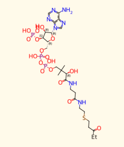 CCC(=O)CCSCCNC(=O)CCNC(=O)[C@H](O)C(C)(C)COP(=O)(O)OP(=O)(O)OC[C@H]1O[C@@H](n2cnc3c(N)ncnc32)[C@H](O)[C@@H]1OP(=O)(O)O